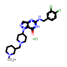 Cl.O=C(O)N1CCCC(CN2CCC(n3ncc4nc(NCc5ccc(Cl)c(Cl)c5)[nH]c(=O)c43)CC2)C1